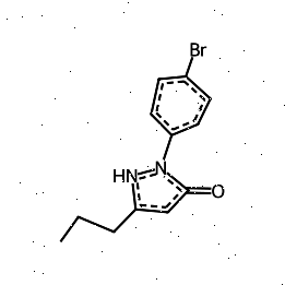 CCCc1cc(=O)n(-c2ccc(Br)cc2)[nH]1